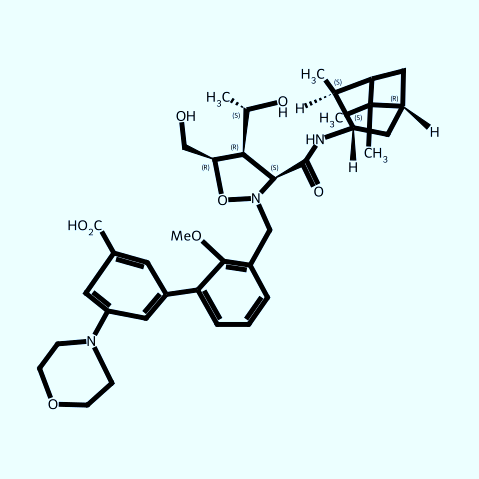 COc1c(CN2O[C@@H](CO)[C@@H]([C@H](C)O)[C@H]2C(=O)N[C@H]2C[C@H]3CC([C@@H]2C)C3(C)C)cccc1-c1cc(C(=O)O)cc(N2CCOCC2)c1